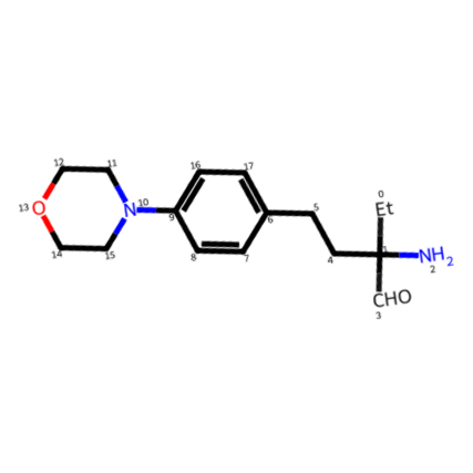 CCC(N)(C=O)CCc1ccc(N2CCOCC2)cc1